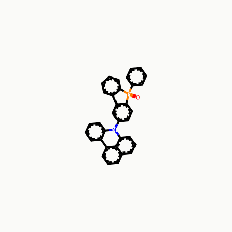 O=P1(c2ccccc2)c2ccccc2-c2cc(N3c4ccccc4-c4cccc5cccc3c45)ccc21